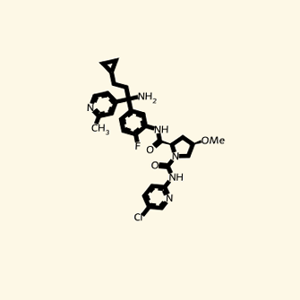 CO[C@@H]1C[C@H](C(=O)Nc2cc(C(N)(CCC3CC3)c3ccnc(C)c3)ccc2F)N(C(=O)Nc2ccc(Cl)cn2)C1